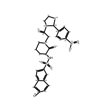 O=C1[C@@H](NS(=O)(=O)c2ccc3cc(Cl)ccc3c2)CCCN1CC(=O)N1CCSC1c1ccc([N+](=O)[O-])cc1